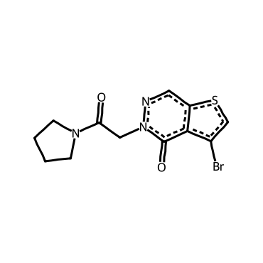 O=C(Cn1ncc2scc(Br)c2c1=O)N1CCCC1